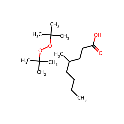 CC(C)(C)OOC(C)(C)C.CCCCC(C)CCC(=O)O